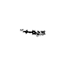 C[C@@](C[C@H]1CN(c2ccc(C#CC3CC(CC#N)C3)cc2)C(=O)O1)(C(=O)O)S(C)(=O)=O